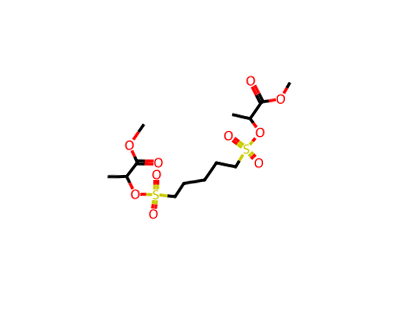 COC(=O)C(C)OS(=O)(=O)CCCCCS(=O)(=O)OC(C)C(=O)OC